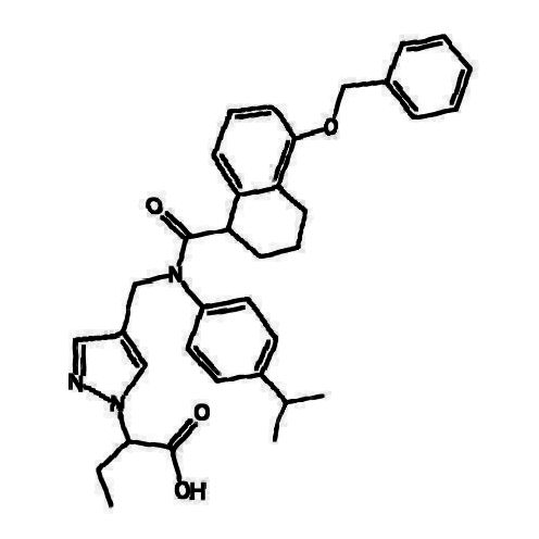 CCC(C(=O)O)n1cc(CN(C(=O)C2CCCc3c(OCc4ccccc4)cccc32)c2ccc(C(C)C)cc2)cn1